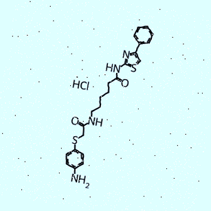 Cl.Nc1ccc(SCC(=O)NCCCCCC(=O)Nc2nc(-c3ccccc3)cs2)cc1